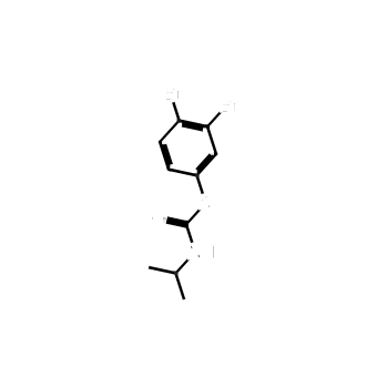 CC(C)NC(=O)Sc1ccc(Br)c(Br)c1